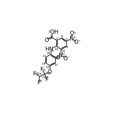 O=C(O)c1cc([N+](=O)[O-])cc([N+](=O)[O-])c1Nc1ccc(OC(F)(F)C(F)F)cc1